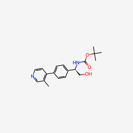 Cc1cnccc1-c1ccc([C@H](CO)NC(=O)OC(C)(C)C)cc1